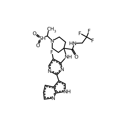 CC(N1CCC(Nc2nc(-c3c[nH]c4ncccc34)ncc2F)(C(=O)NCC(F)(F)F)CC1)[SH](=O)=O